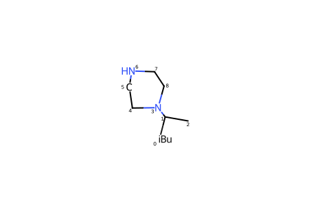 CCC(C)C(C)N1CCNCC1